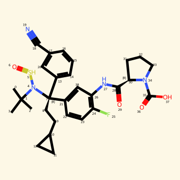 CC(C)(C)N([SH]=O)[C@](CCC1CC1)(c1cccc(C#N)c1)c1ccc(F)c(NC(=O)[C@H]2CCCN2C(=O)O)c1